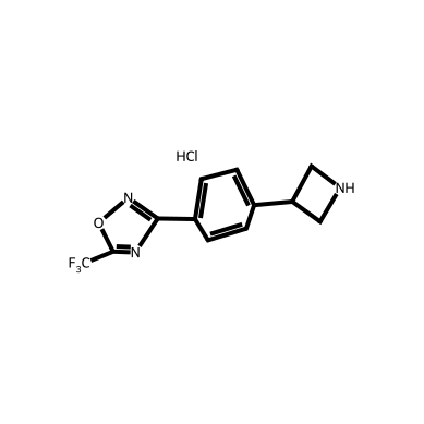 Cl.FC(F)(F)c1nc(-c2ccc(C3CNC3)cc2)no1